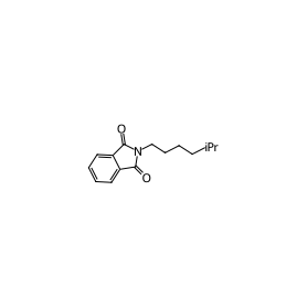 CC(C)CCCCN1C(=O)c2ccccc2C1=O